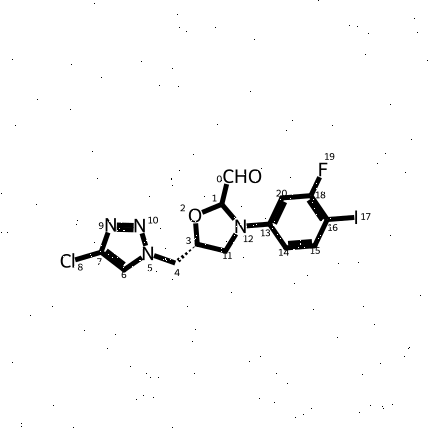 O=CC1O[C@@H](Cn2cc(Cl)nn2)CN1c1ccc(I)c(F)c1